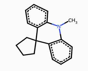 CN1c2ccccc2C2(CCCC2)c2ccccc21